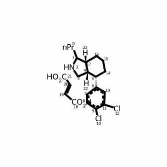 CCCC1NC[C@H]2[C@@H](c3ccc(Cl)c(Cl)c3)CCC[C@@H]12.O=C(O)/C=C/C(=O)O